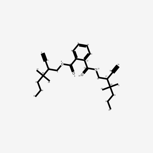 C#CC(COC(=O)c1ccccc1C(=O)OCC(C#C)C(C)(C)CCC)C(C)(C)CCC